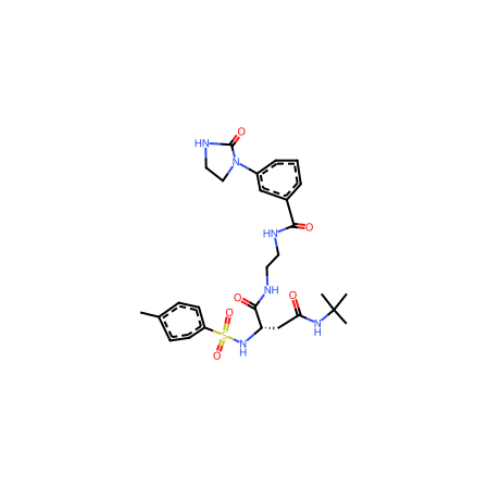 Cc1ccc(S(=O)(=O)N[C@@H](CC(=O)NC(C)(C)C)C(=O)NCCNC(=O)c2cccc(N3CCNC3=O)c2)cc1